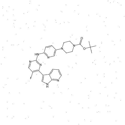 CC(C)(C)OC(=O)N1CCN(c2ccc(Nc3ncc(F)c(-c4c[nH]c5ncccc45)n3)nc2)CC1